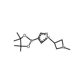 CN1CC(n2cc(B3OC(C)(C)C(C)(C)O3)cn2)C1